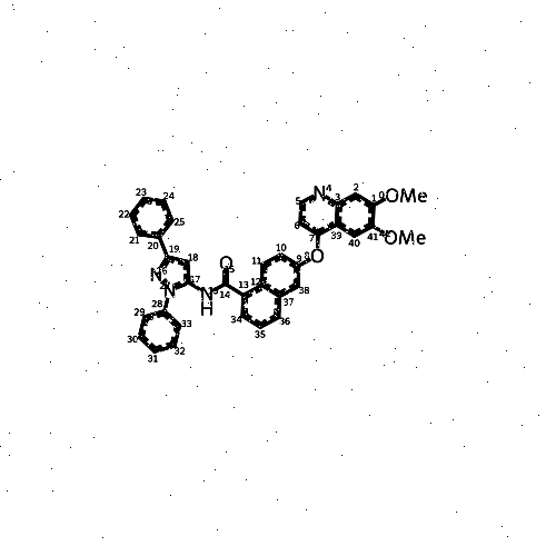 COc1cc2nccc(Oc3ccc4c(C(=O)Nc5cc(-c6ccccc6)nn5-c5ccccc5)cccc4c3)c2cc1OC